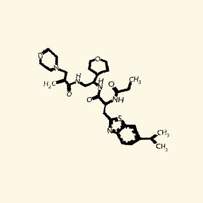 C=C(CN1CCOCC1)C(=O)NCC(NC(=O)[C@H](Cc1nc2ccc(C(C)C)cc2s1)NC(=O)CC)C1CCOCC1